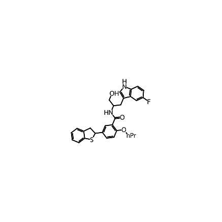 CCCOc1ccc(C2Cc3ccccc3S2)cc1C(=O)NC(CO)Cc1c[nH]c2ccc(F)cc12